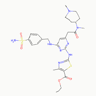 CCOC(=O)c1sc(Nc2nc(CC(=O)N(C)C3CCN(C)CC3)cc(NCc3ccc(S(N)(=O)=O)cc3)n2)nc1C